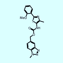 COc1ccccc1-c1nc(C)c(NC(=O)OCc2ccc3c(c2)nnn3C)s1